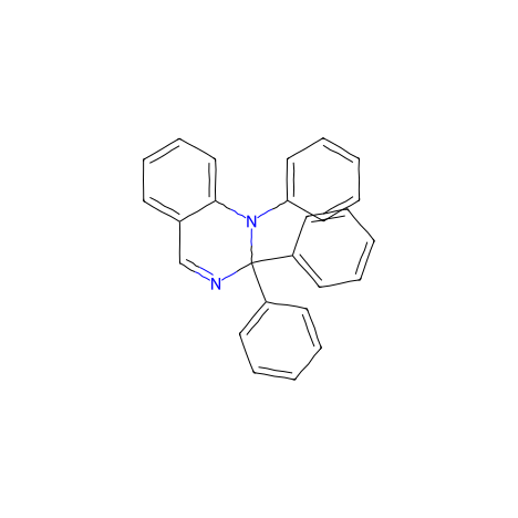 C1=NC(c2ccccc2)(c2ccccc2)N(c2ccccc2)c2ccccc21